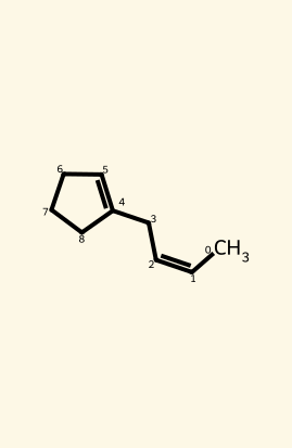 C/C=C\CC1=CCCC1